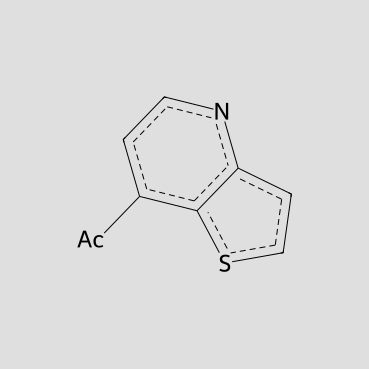 [CH2]C(=O)c1ccnc2ccsc12